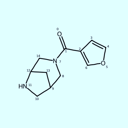 O=C(c1ccoc1)N1CC2CNC(C2)C1